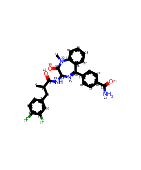 CC(Cc1ccc(F)c(F)c1)C(=O)NC1N=C(c2ccc(C(N)=O)cc2)c2ccccc2N(C)C1=O